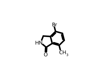 Cc1ccc(Br)c2c1C(=O)NC2